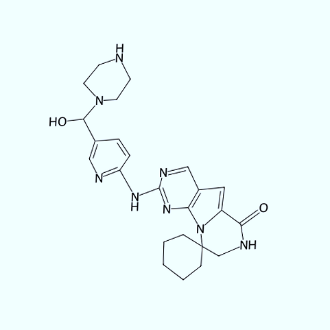 O=C1NCC2(CCCCC2)n2c1cc1cnc(Nc3ccc(C(O)N4CCNCC4)cn3)nc12